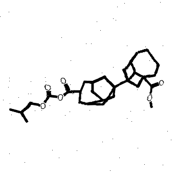 COC(=O)C12CCCC3CC1C(C14CC5CC(C(=O)OC(=O)OCC(C)C)CC(C1)C(C5)C4)(C3)C2